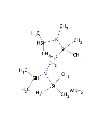 CN([SiH](C)C)[Si](C)(C)C.CN([SiH](C)C)[Si](C)(C)C.[MgH2]